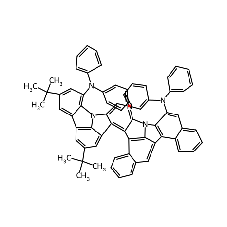 CC(C)(C)c1cc(N(c2ccccc2)c2ccccc2)c2c(c1)c1cc(C(C)(C)C)cc3c4c5c6c7ccccc7cc7c8c9ccccc9cc(N(c9ccccc9)c9ccccc9)c8n(c5ncc4n2c13)c76